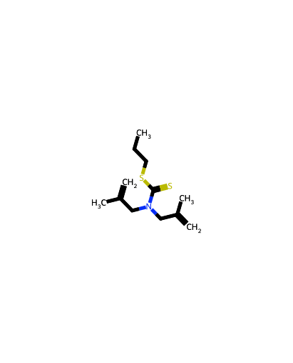 C=C(C)CN(CC(=C)C)C(=S)SCCC